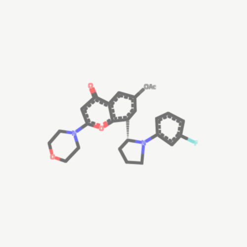 CC(=O)Oc1cc([C@H]2CCCN2c2cccc(F)c2)c2oc(N3CCOCC3)cc(=O)c2c1